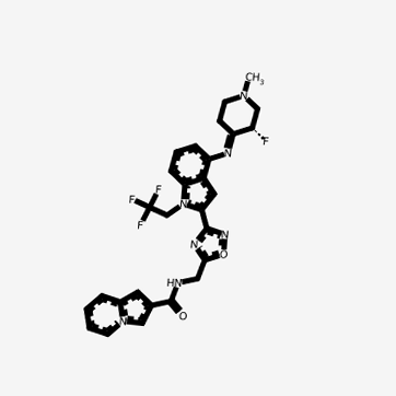 CN1CC/C(=N\c2cccc3c2cc(-c2noc(CNC(=O)c4cc5ccccn5c4)n2)n3CC(F)(F)F)[C@@H](F)C1